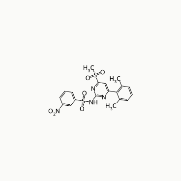 Cc1cccc(C)c1-c1cc(S(C)(=O)=O)nc(NS(=O)(=O)c2cccc([N+](=O)[O-])c2)n1